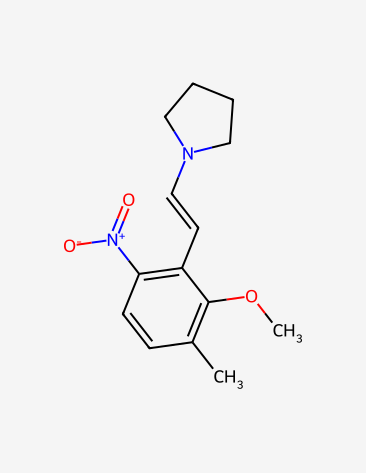 COc1c(C)ccc([N+](=O)[O-])c1/C=C/N1CCCC1